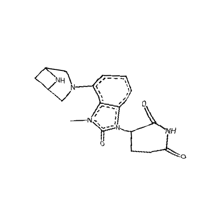 Cn1c(=O)n(C2CCC(=O)NC2=O)c2cccc(N3CC4CC(C3)N4)c21